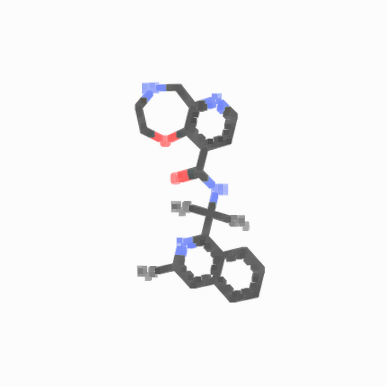 Cc1cc2ccccc2c(C(C)(C)NC(=O)c2ccnc3c2OCCNC3)n1